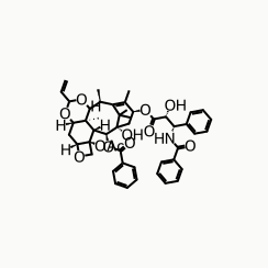 C=CC1O[C@H]2C[C@H]3OC[C@@]3(OC(C)=O)[C@H]3[C@H](OC(=O)c4ccccc4)[C@]4(O)C[C@H](OC(=O)[C@H](O)[C@@H](NC(=O)c5ccccc5)c5ccccc5)C(C)=C([C@H](C)[C@H](O1)[C@]23C)C4(C)C